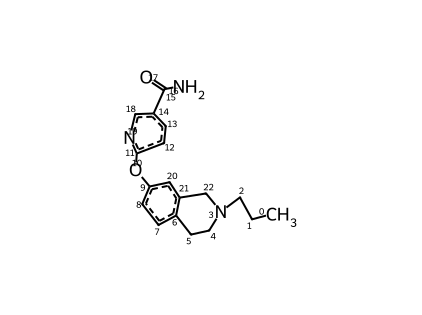 CCCN1CCc2ccc(Oc3ccc(C(N)=O)cn3)cc2C1